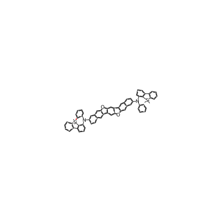 C[Si]1(C)c2ccccc2-c2cccc(N(c3ccccc3)c3ccc4cc5c(cc4c3)oc3cc4c(cc35)oc3cc5cc(N(c6ccccc6)c6cccc7c6[Si](C)(C)c6ccccc6-7)ccc5cc34)c21